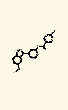 CC(C)Oc1ccc2[nH]nc(-c3ccnc(NC(=O)c4cnc(C(C)C)nc4)c3)c2c1